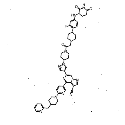 N#Cc1cnn2cc(-c3cnn(C4CCN(C(=O)CN5CCC(c6ccc(NC7CCC(=O)NC7=O)cc6F)CC5)CC4)c3)nc(-c3ccc(N4CCC(Cc5ccccn5)CC4)nc3)c12